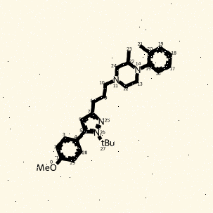 COc1ccc(-c2cc(CCCN3CCN(c4ccccc4C)C(C)C3)nn2C(C)(C)C)cc1